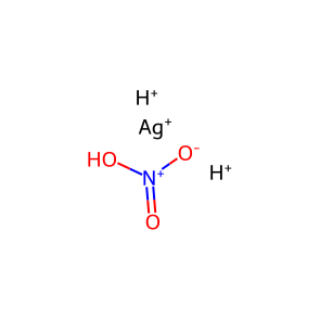 O=[N+]([O-])O.[Ag+].[H+].[H+]